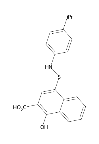 CC(C)c1ccc(NSc2cc(C(=O)O)c(O)c3ccccc23)cc1